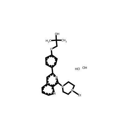 CCN1CCN(c2nc(-c3ccc(OCC(C)(C)O)cc3)cc3cccnc23)CC1.Cl.Cl